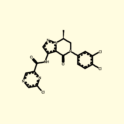 C[C@H]1CN(c2ccc(Cl)c(Cl)c2)C(=O)c2c(NC(=O)c3cncc(Cl)n3)cnn21